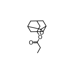 CCC(=O)OC12CC3CC(C1)C(=O)C(C3)C2